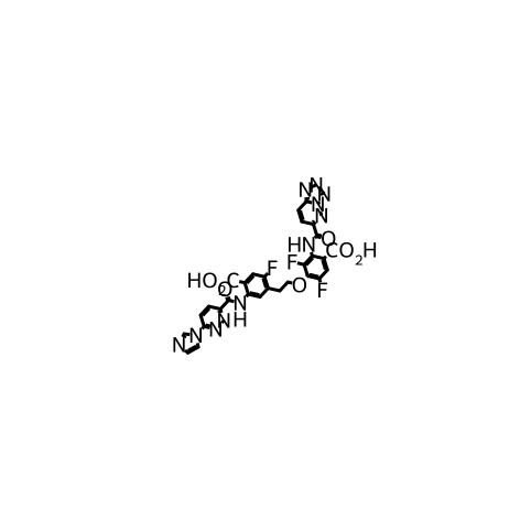 O=C(Nc1cc(CCOc2c(F)cc(C(=O)O)c(NC(=O)c3ccc4nnnn4n3)c2F)c(F)cc1C(=O)O)c1ccc(-n2ccnc2)nn1